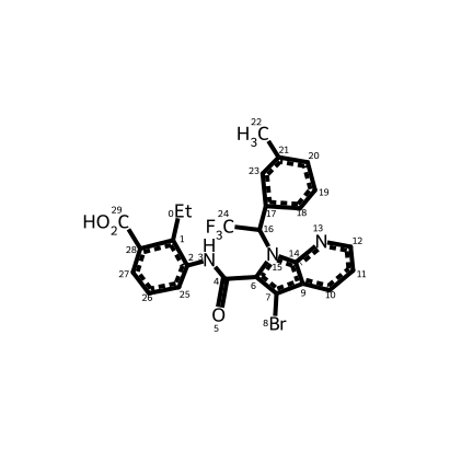 CCc1c(NC(=O)c2c(Br)c3cccnc3n2C(c2cccc(C)c2)C(F)(F)F)cccc1C(=O)O